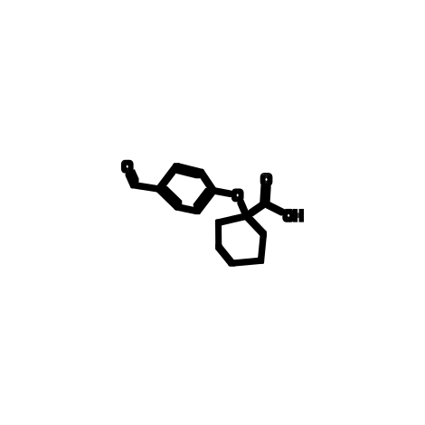 O=Cc1ccc(OC2(C(=O)O)CCCCC2)cc1